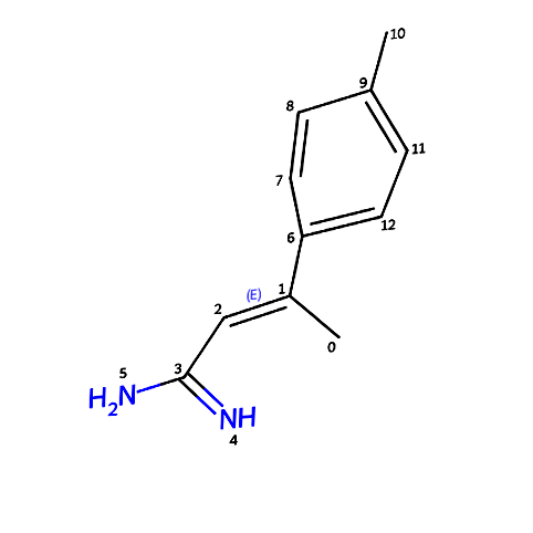 C/C(=C\C(=N)N)c1ccc(C)cc1